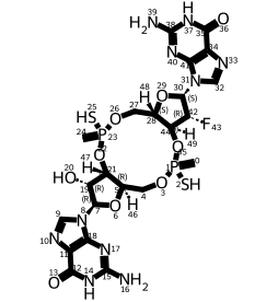 C=P1(S)OC[C@H]2O[C@@H](n3cnc4c(=O)[nH]c(N)nc43)[C@H](O)[C@@H]2OP(=C)(S)OC[C@@H]2O[C@H](n3cnc4c(=O)[nH]c(N)nc43)[C@H](F)[C@H]2O1